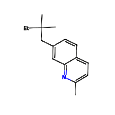 CCC(C)(C)Cc1ccc2ccc(C)nc2c1